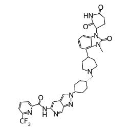 Cn1c(=O)n(C2CCC(=O)NC2=O)c2cccc(C3CCN(C[C@H]4CC[C@H](n5cc6cc(NC(=O)c7cccc(C(F)(F)F)n7)ncc6n5)CC4)CC3)c21